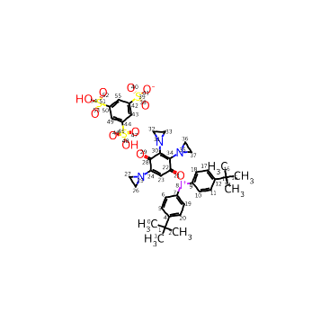 CC(C)(C)c1ccc([I+]c2ccc(C(C)(C)C)cc2)cc1.O=C1C=C(N2CC2)C(=O)C(N2CC2)=C1N1CC1.O=S(=O)([O-])c1cc(S(=O)(=O)O)cc(S(=O)(=O)O)c1